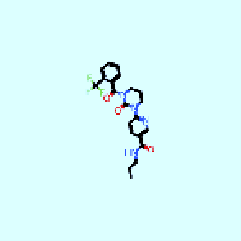 CCCNC(=O)c1ccc(N2CCCN(C(=O)c3ccccc3C(F)(F)F)C2=O)nc1